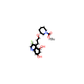 CC(C)(C)OC(=O)N1CCCC[C@@H](OCCCc2c(F)cnc3cc(O)cc(O)c23)C1